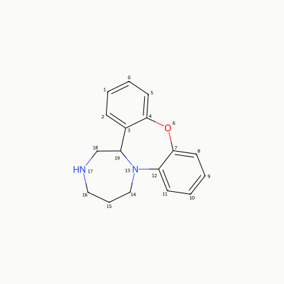 c1ccc2c(c1)Oc1ccccc1N1CCCNCC21